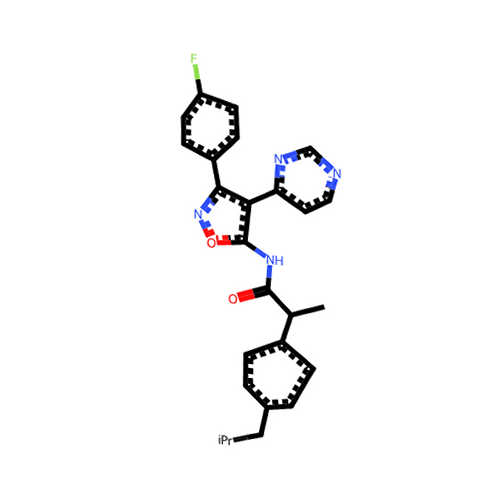 CC(C)Cc1ccc(C(C)C(=O)Nc2onc(-c3ccc(F)cc3)c2-c2ccncn2)cc1